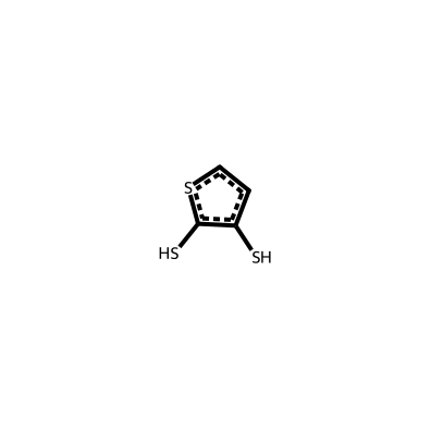 Sc1ccsc1S